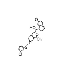 COc1ccc2nccc(C(O)CC[C@@H]3CCN(CCSc4cccc(Cl)c4)C[C@@H]3C(=O)O)c2c1